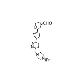 CC(C)N1CCN(Cc2ccc(-c3ccc(C4CN(C=O)CCO4)cc3)nn2)CC1